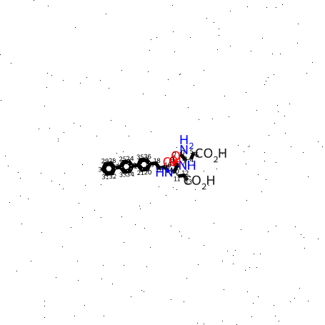 NC(=O)[C@H](CCC(=O)O)NC(=O)[C@H](CCC(=O)O)NC(O)CCc1ccc(-c2ccc(-c3ccccc3)cc2)cc1